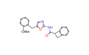 COc1ccccc1Cc1cnc(NC(=O)C2Cc3ccccc32)o1